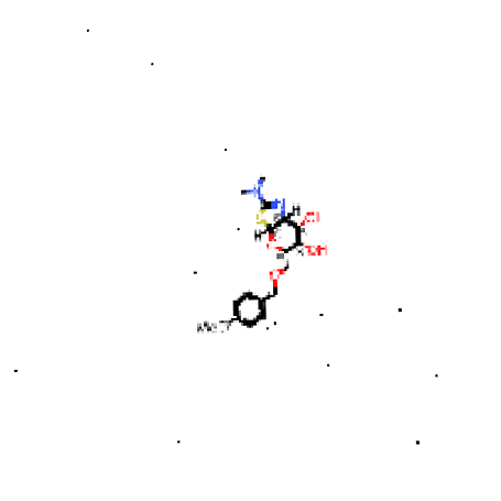 COc1ccc(COC[C@H]2O[C@@H]3SC(N(C)C)=N[C@@H]3[C@@H](O)[C@@H]2O)cc1